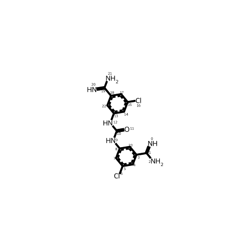 N=C(N)c1cc(Cl)cc(NC(=O)Nc2cc(Cl)cc(C(=N)N)c2)c1